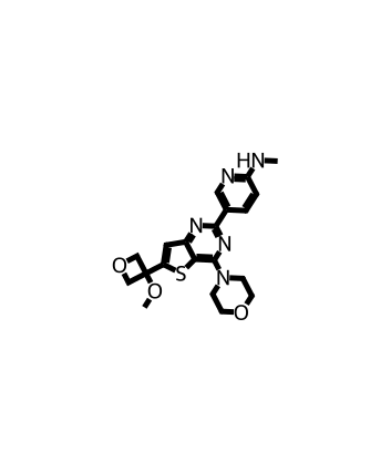 CNc1ccc(-c2nc(N3CCOCC3)c3sc(C4(OC)COC4)cc3n2)cn1